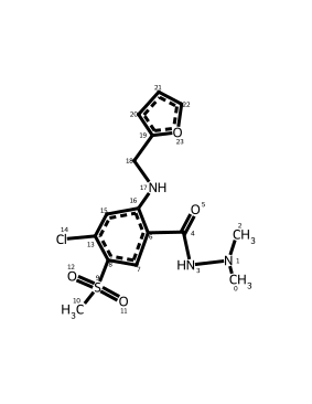 CN(C)NC(=O)c1cc(S(C)(=O)=O)c(Cl)cc1NCc1ccco1